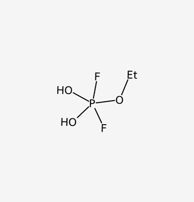 CCOP(O)(O)(F)F